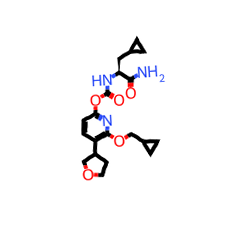 NC(=O)[C@H](CC1CC1)NC(=O)Oc1ccc(C2CCOC2)c(OCC2CC2)n1